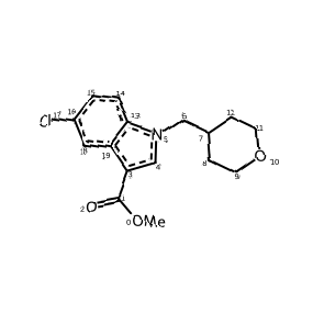 COC(=O)c1cn(CC2CCOCC2)c2ccc(Cl)cc12